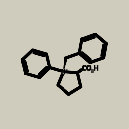 O=C(O)C1CCC[N@+]1(Cc1ccccc1)c1ccccc1